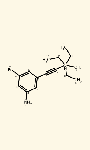 CC[SH](C)(C#Cc1cc(N)cc(Br)c1)(CC)CC